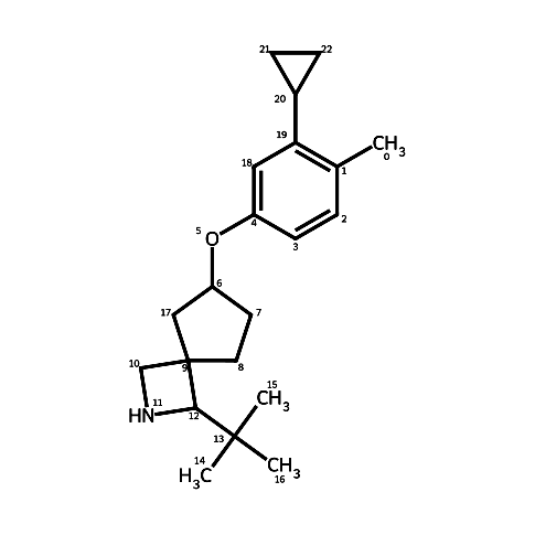 Cc1ccc(OC2CCC3(CNC3C(C)(C)C)C2)cc1C1CC1